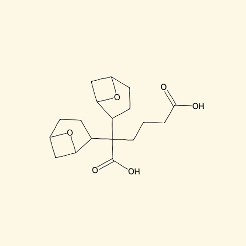 O=C(O)CCCC(C(=O)O)(C1CCC2CC1O2)C1CCC2CC1O2